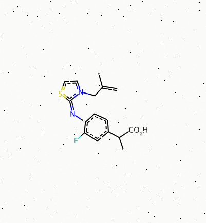 C=C(C)Cn1ccsc1=Nc1ccc(C(C)C(=O)O)cc1F